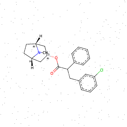 CN1[C@@H]2CC[C@H]1C[C@@H](OC(=O)C(Cc1cccc(Cl)c1)c1ccccc1)C2